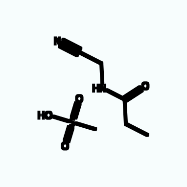 CCC(=O)NCC#N.CS(=O)(=O)O